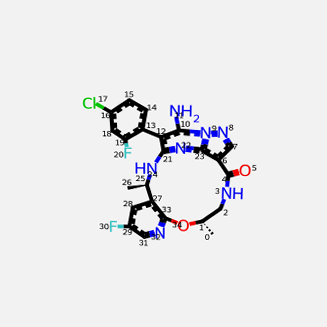 C[C@H]1CNC(=O)c2cnn3c(N)c(-c4ccc(Cl)cc4F)c(nc23)N[C@H](C)c2cc(F)cnc2O1